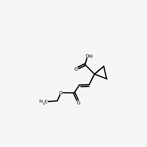 CCOC(=O)C=CC1(C(=O)O)CC1